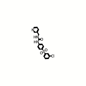 O=C(NCc1cccnc1)Nc1ccc(S(=O)(=O)c2cccc(Cl)c2)cc1